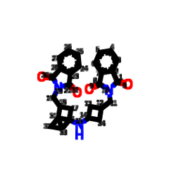 O=C1c2ccccc2C(=O)N1CC1CC(NC23CC(CN4C(=O)c5ccccc5C4=O)C24CC34)C1